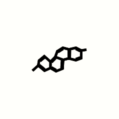 Cc1ccc2c(ccc3c4ccc(C)cc4ccc23)c1